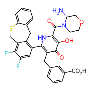 N[C@@H]1COCCN1C(=O)c1[nH]c(-c2cc(F)c(F)c3c2Cc2ccccc2SC3)c(Cc2cccc(C(=O)O)c2)c(=O)c1O